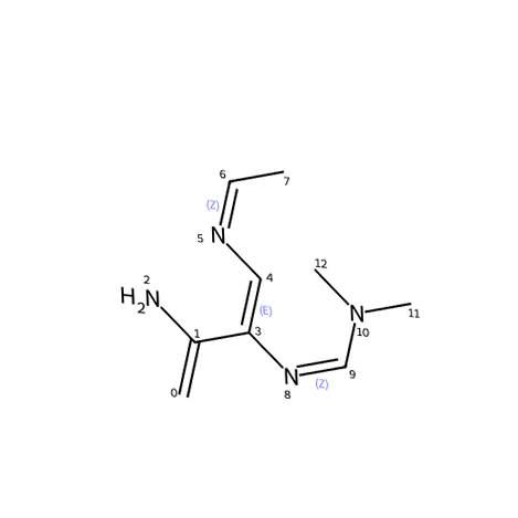 C=C(N)C(=C\N=C/C)/N=C\N(C)C